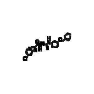 O=C(NNC(=S)Nc1cccc(OCc2ccccc2)c1)c1cn2ccc(Cl)cc2n1